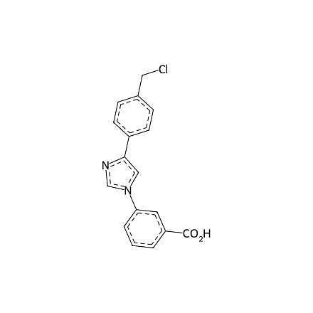 O=C(O)c1cccc(-n2cnc(-c3ccc(CCl)cc3)c2)c1